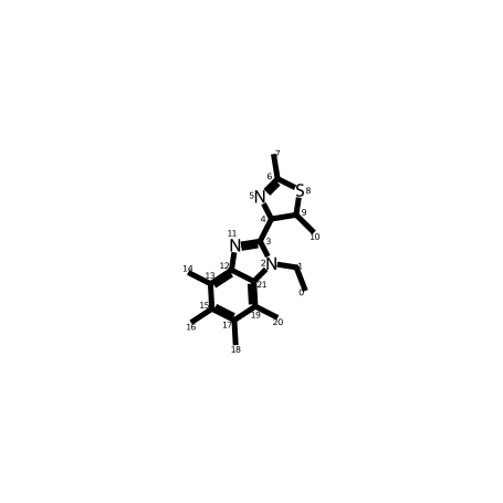 CCn1c(C2N=C(C)SC2C)nc2c(C)c(C)c(C)c(C)c21